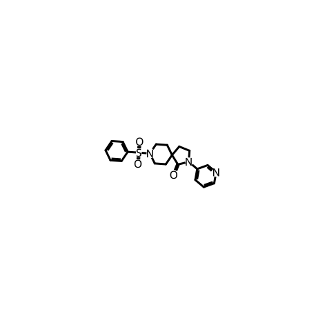 O=C1N(c2cccnc2)CCC12CCN(S(=O)(=O)c1ccccc1)CC2